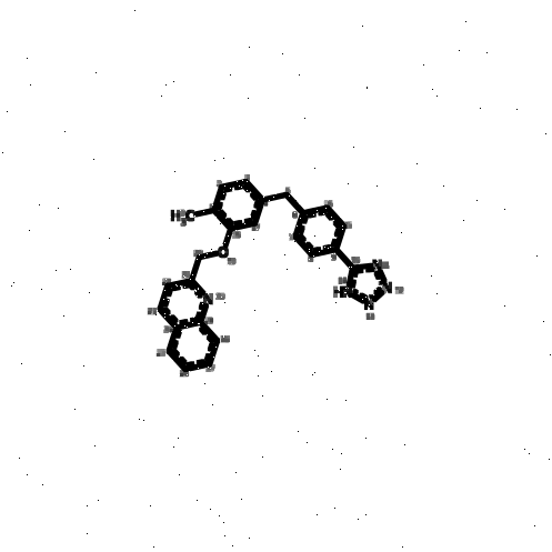 Cc1ccc(Cc2ccc(-c3nnn[nH]3)cc2)cc1OCc1ccc2ccccc2n1